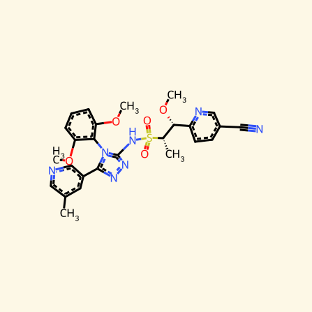 COc1cccc(OC)c1-n1c(NS(=O)(=O)[C@@H](C)[C@H](OC)c2ccc(C#N)cn2)nnc1-c1cncc(C)c1